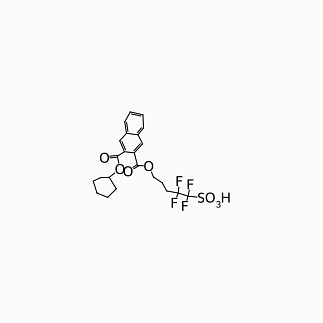 O=C(OCCCC(F)(F)C(F)(F)S(=O)(=O)O)c1cc2ccccc2cc1C(=O)OC1CCCCC1